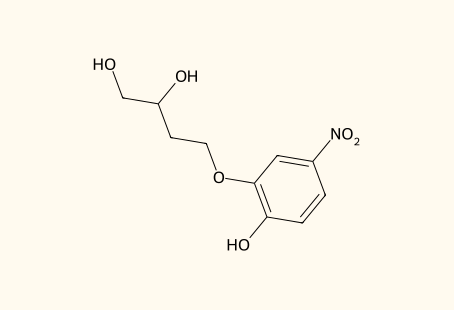 O=[N+]([O-])c1ccc(O)c(OCCC(O)CO)c1